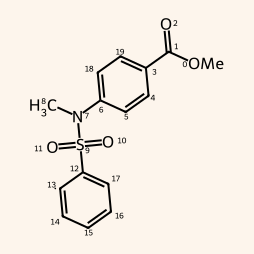 COC(=O)c1ccc(N(C)S(=O)(=O)c2[c]cccc2)cc1